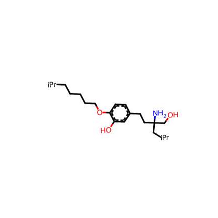 CC(C)CCCCCOc1ccc(CCC(N)(CO)CC(C)C)cc1O